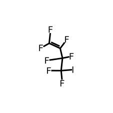 FC(F)=C(F)C(F)(F)C(F)(F)I